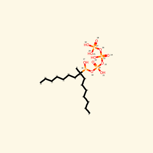 CCCCCCCC(C)(CCCCCCC)P(O)OP(=O)(O)OP(=O)(O)OP(=O)(O)O